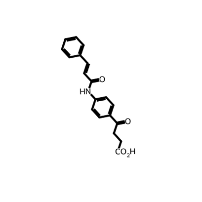 O=C(O)CCC(=O)c1ccc(NC(=O)C=Cc2ccccc2)cc1